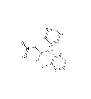 O=[N+]([O-])CC1CCc2ccccc2N1c1ccccc1